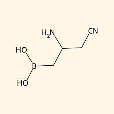 N#CCC(N)CB(O)O